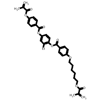 C=C(C)C(=O)OCCCCCCOc1ccc(C(=O)Oc2ccc(OC(=O)c3ccc(OC(=O)C(=C)C)cc3)cc2CC)cc1